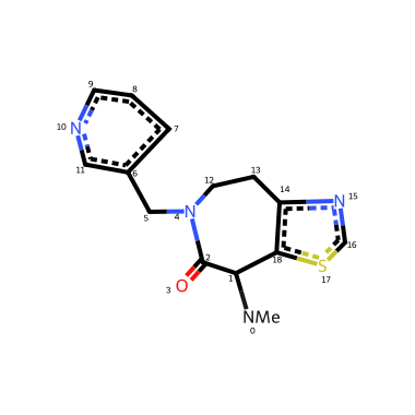 CNC1C(=O)N(Cc2cccnc2)CCc2ncsc21